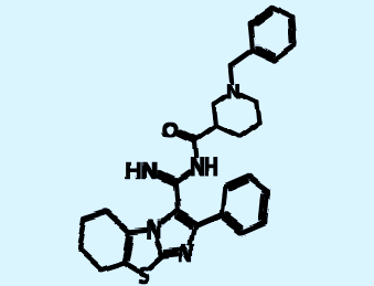 N=C(NC(=O)C1CCCN(Cc2ccccc2)C1)c1c(-c2ccccc2)nc2sc3c(n12)CCCC3